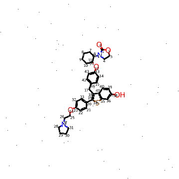 O=C1OCCN1[C@@H]1CCCC[C@H]1Oc1ccc(Cc2c(-c3ccc(OCCN4CCCC4)cc3)sc3cc(O)ccc23)cc1